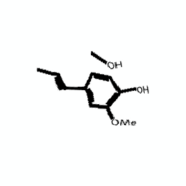 C/C=C/c1ccc(O)c(OC)c1.CO